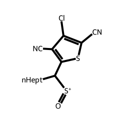 CCCCCCCC([S+]=O)c1sc(C#N)c(Cl)c1C#N